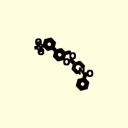 CS(=O)(=O)c1cccc(-c2ccc3c(c2)COC(C2CCN(C(=O)c4ccccc4)CC2)O3)c1